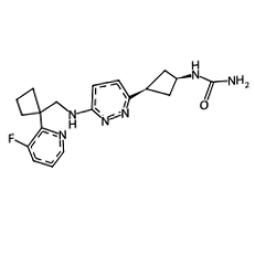 NC(=O)N[C@H]1C[C@@H](c2ccc(NCC3(c4ncccc4F)CCC3)nn2)C1